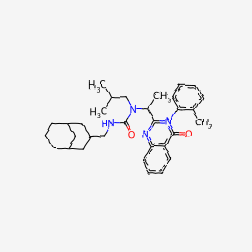 Cc1ccccc1-n1c(C(C)N(CC(C)C)C(=O)NCC2CC3CCCC(C3)C2)nc2ccccc2c1=O